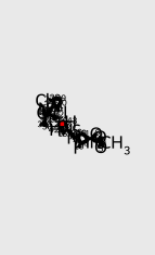 CS(=O)(=O)NC(=O)c1cc(F)c2nc(N3C[C@@H]4C[C@H]3C[C@H]4OCc3c(-c4c(Cl)cccc4Cl)noc3C3CC3)sc2c1